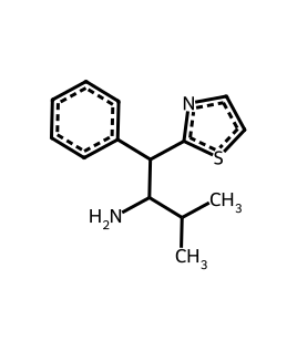 CC(C)C(N)C(c1ccccc1)c1nccs1